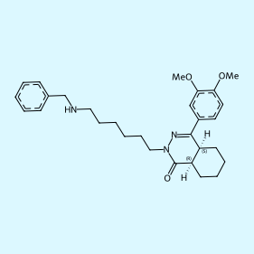 COc1ccc(C2=NN(CCCCCCNCc3ccccc3)C(=O)[C@@H]3CCCC[C@H]23)cc1OC